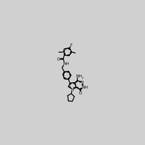 Cc1cc(C(=O)NCc2ccc(-c3cn(C4CCCC4)c4c(=O)[nH]nc(N)c34)cc2)c(C)cc1F